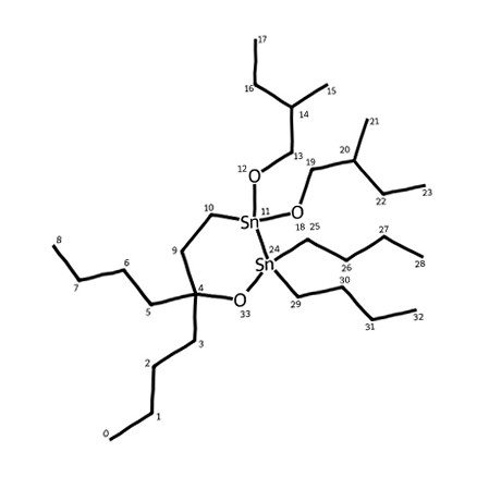 CCCCC1(CCCC)C[CH2][Sn]([O]CC(C)CC)([O]CC(C)CC)[Sn]([CH2]CCC)([CH2]CCC)[O]1